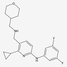 Fc1cc(F)cc(Nc2ccc(CNCC3CCOCC3)c(C3CC3)n2)c1